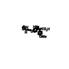 COc1ccc(C(CC(=O)O)c2c[nH]c3cc(OCCCNc4ncc[nH]4)ccc23)cc1